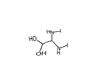 OC(O)C(NI)NI